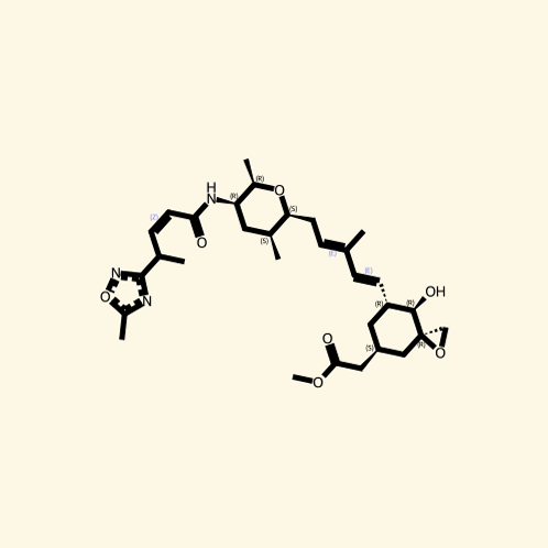 COC(=O)C[C@H]1C[C@H](/C=C/C(C)=C/C[C@@H]2O[C@H](C)[C@H](NC(=O)/C=C\C(C)c3noc(C)n3)C[C@@H]2C)[C@@H](O)[C@]2(CO2)C1